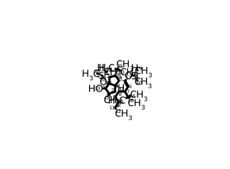 C=C1C[C@H]2[C@@H](/C(=C\C(CCCCC)C(C)(C)C)O[SiH](C)C)[C@H](C(C)(C)C)C[C@@]2(O[SiH](C)C)C1O